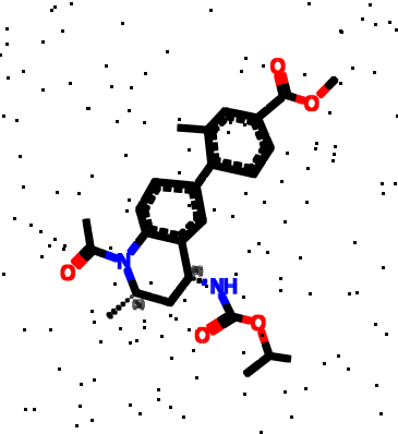 COC(=O)c1ccc(-c2ccc3c(c2)[C@H](NC(=O)OC(C)C)C[C@H](C)N3C(C)=O)c(C)c1